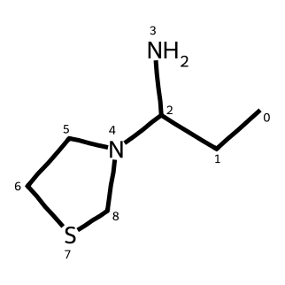 CCC(N)N1CCSC1